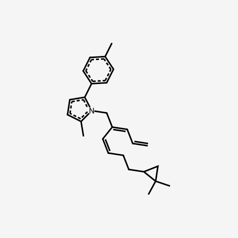 C=C/C=C(\C=C/CCC1CC1(C)C)Cn1c(C)ccc1-c1ccc(C)cc1